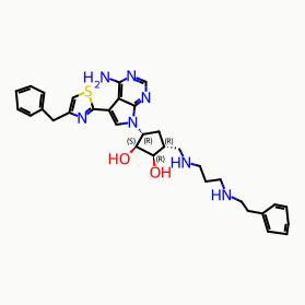 Nc1ncnc2c1c(-c1nc(Cc3ccccc3)cs1)cn2[C@@H]1C[C@H](CNCCCNCCc2ccccc2)[C@@H](O)[C@H]1O